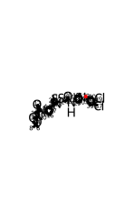 CN(C(=O)OC(C)(C)C)C1(C)C(=O)N1c1cccc(-c2csc(SCC(=O)NC3CCN(Cc4ccc(Cl)c(Cl)c4)CC3)n2)c1